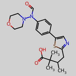 CC(Cc1ncc(-c2ccc(N(C=O)N3CCOCC3)cc2)s1)C(C)(C)C(=O)O